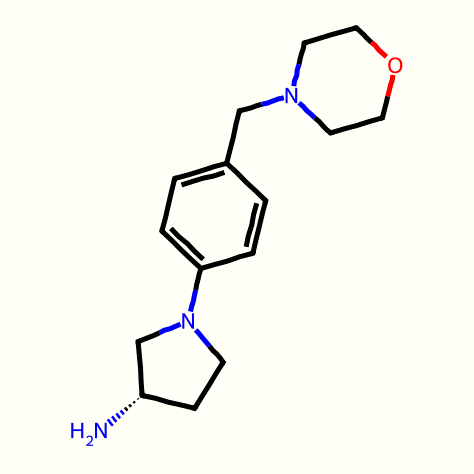 N[C@H]1CCN(c2ccc(CN3CCOCC3)cc2)C1